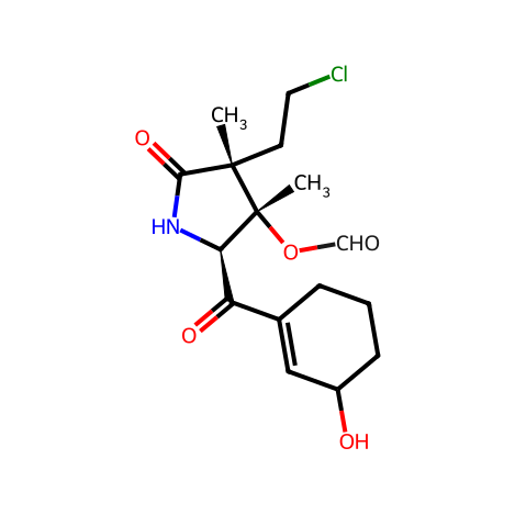 C[C@]1(CCCl)C(=O)N[C@H](C(=O)C2=CC(O)CCC2)[C@@]1(C)OC=O